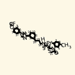 CCCc1ccc(C)cc1N1C(=O)CS/C1=N\C(=S)NCCCc1cccc(-c2ncn(-c3ccc(OC(F)(F)F)cc3)n2)c1